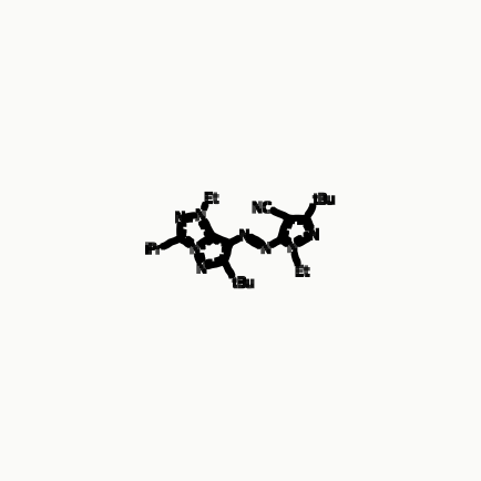 CCn1nc(C(C)(C)C)c(C#N)c1/N=N/c1c(C(C)(C)C)nn2c(C(C)C)nn(CC)c12